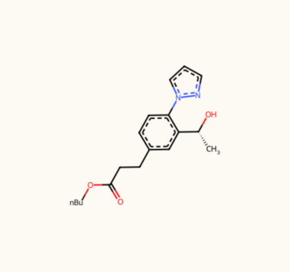 CCCCOC(=O)CCc1ccc(-n2cccn2)c([C@@H](C)O)c1